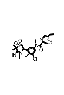 C=CC(Cl)/C=N\C(=C/CC)C(=O)Nc1cc(Cl)c(F)c(C2CS(=O)(=O)C(C)(C)C(=N)N2)c1